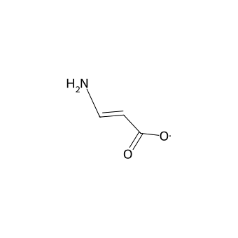 NC=CC([O])=O